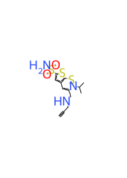 C#CCNCC1=Cc2cc(S(N)(=O)=O)sc2SN1C(C)C